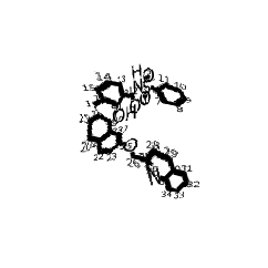 O=C(NS(=O)(=O)c1ccccc1)c1cccc(C[C@H]2CCc3ccc(OCc4ccc5ccccc5n4)cc3[C@H]2O)c1